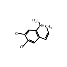 C/C=C\c1cc(Cl)c(Cl)cc1NC